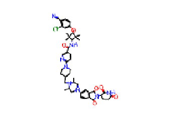 CC1CN(c2ccc3c(c2)C(=O)N(C2CCC(=O)NC2=O)C3=O)CC(C)N1CC1CCN(c2ccc(C(=O)N[C@H]3C(C)(C)[C@H](Oc4ccc(C#N)c(Cl)c4)C3(C)C)cn2)CC1